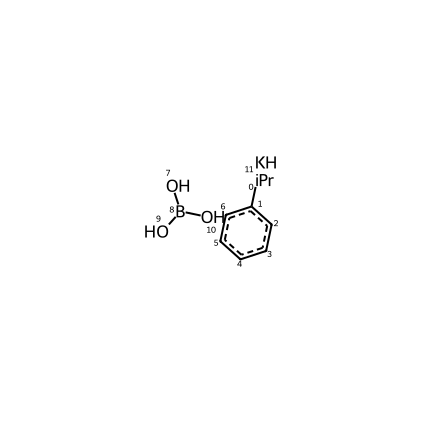 CC(C)c1ccccc1.OB(O)O.[KH]